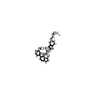 COc1cc(-c2ccc3c(c2NC(=O)NSc2cc4c(s2)CCN(CCSC)C4)CCC3)ccn1